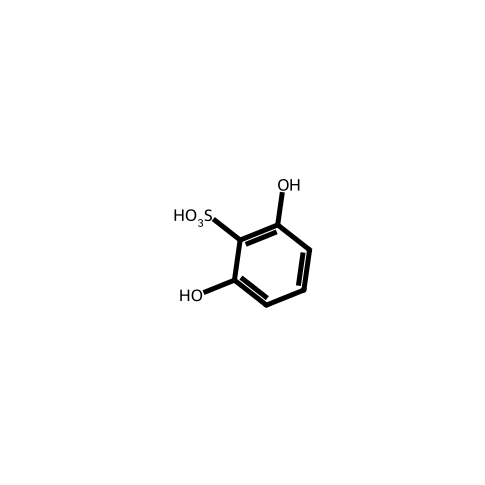 O=S(=O)(O)c1c(O)cccc1O